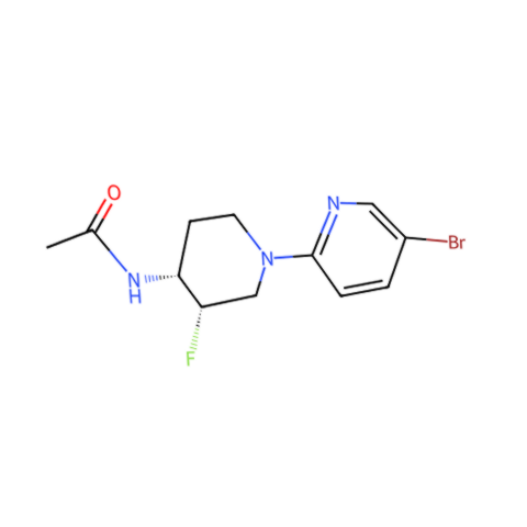 CC(=O)N[C@@H]1CCN(c2ccc(Br)cn2)C[C@@H]1F